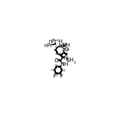 CCCC(CCC)[C@H]1C=Cc2c(cn(C)c2C(=O)Nc2ccc(F)c(F)c2)S(=N)(=O)N1